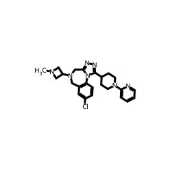 CN1CC(N2Cc3cc(Cl)ccc3-n3c(nnc3C3CCN(c4ccccn4)CC3)C2)C1